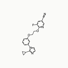 N#Cc1cnc(OCCOc2cccc(-n3ccnc3C3CC3)c2)c(F)c1